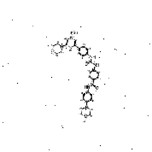 CCCCN1C=C(c2ccc(NC(=O)Nc3ccc(C(=O)Nc4ccc(N5CCN(C)CC5)cc4)cc3)cc2)SC(N2CCOCC2)=C1